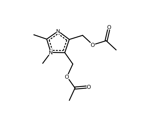 CC(=O)OCc1nc(C)n(C)c1COC(C)=O